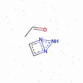 CC=O.c1cn2[nH]n12